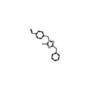 C=Cc1ccc(Cn2nc(Cc3ccccc3)nc2I)cc1